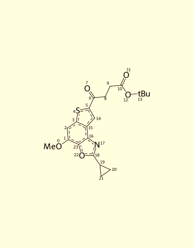 COc1cc2sc(C(=O)CCC(=O)OC(C)(C)C)cc2c2nc(C3CC3)oc12